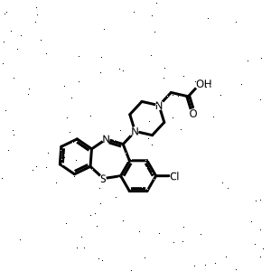 O=C(O)CN1CCN(C2=Nc3ccccc3Sc3ccc(Cl)cc32)CC1